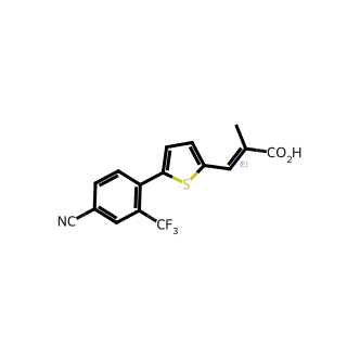 C/C(=C\c1ccc(-c2ccc(C#N)cc2C(F)(F)F)s1)C(=O)O